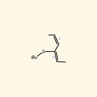 C/C=C\C(=C/C)SC(C)CC